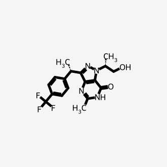 Cc1nc2c([C@@H](C)c3ccc(C(F)(F)F)cc3)nn([C@H](C)CO)c2c(=O)[nH]1